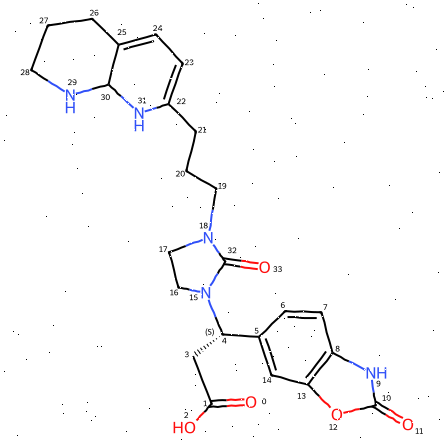 O=C(O)C[C@@H](c1ccc2[nH]c(=O)oc2c1)N1CCN(CCCC2=CC=C3CCCNC3N2)C1=O